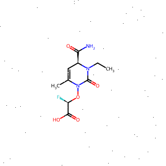 CCN1C(=O)N(O[C@H](F)C(=O)O)C(C)=C[C@H]1C(N)=O